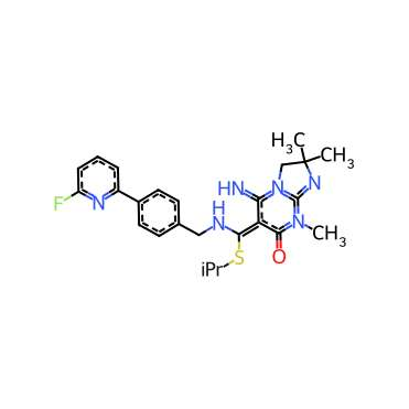 CC(C)S/C(NCc1ccc(-c2cccc(F)n2)cc1)=c1\c(=O)n(C)c2n(c1=N)CC(C)(C)N=2